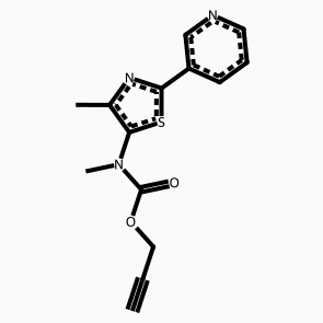 C#CCOC(=O)N(C)c1sc(-c2cccnc2)nc1C